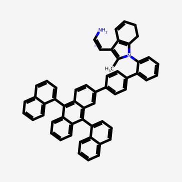 Cc1c(/C=C\N)c2c(n1-c1ccccc1-c1ccc(-c3ccc4c(-c5cccc6ccccc56)c5ccccc5c(-c5cccc6ccccc56)c4c3)cc1)CCC=C2